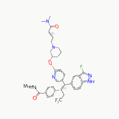 CNC(=O)c1ccc(/C(CC(F)(F)F)=C(\c2ccc(OC3CCCN(C/C=C/C(=O)N(C)C)C3)nc2)c2ccc3[nH]nc(F)c3c2)cc1